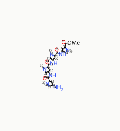 COC(=O)c1cc(NC(=O)c2cc(NC(=O)c3cc(NC(=O)c4cc(N)cn4C)cn3C)cn2C)cn1C